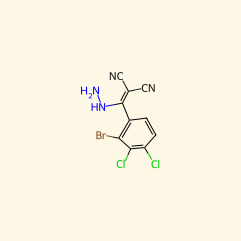 N#CC(C#N)=C(NN)c1ccc(Cl)c(Cl)c1Br